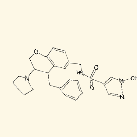 Cn1cc(S(=O)(=O)NCc2ccc3c(c2)C(Cc2ccccc2)C(N2CCCC2)CO3)cn1